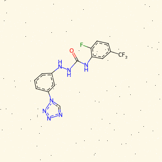 O=C(NNc1cccc(-n2cnnn2)c1)Nc1cc(C(F)(F)F)ccc1F